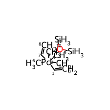 C=[CH][Pd]([CH3])([CH3])([CH3])([CH3])[CH]=C.[SiH3]O[SiH3]